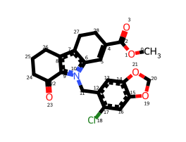 COC(=O)C1=Cc2c(c3c(n2Cc2cc4c(cc2Cl)OCO4)C(=O)CCC3)CC1